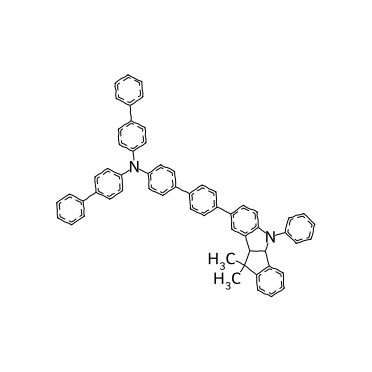 CC1(C)c2ccccc2C2C1c1cc(-c3ccc(-c4ccc(N(c5ccc(-c6ccccc6)cc5)c5ccc(-c6ccccc6)cc5)cc4)cc3)ccc1N2c1ccccc1